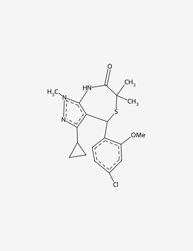 COc1cc(Cl)ccc1C1SC(C)(C)C(=O)Nc2c1c(C1CC1)nn2C